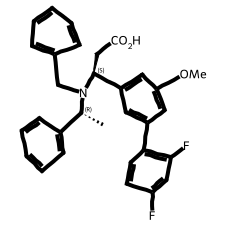 COc1cc(-c2ccc(F)cc2F)cc([C@H](CC(=O)O)N(Cc2ccccc2)[C@H](C)c2ccccc2)c1